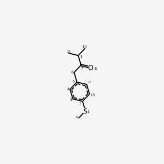 CSc1ccc(CC(=O)C(C)C)cc1